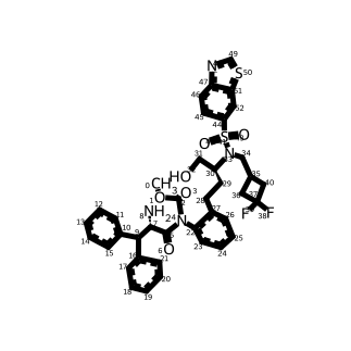 COC(=O)N(C(=O)[C@@H](N)C(c1ccccc1)c1ccccc1)c1ccccc1CC[C@@H](CO)N(CC1CC(F)(F)C1)S(=O)(=O)c1ccc2ncsc2c1